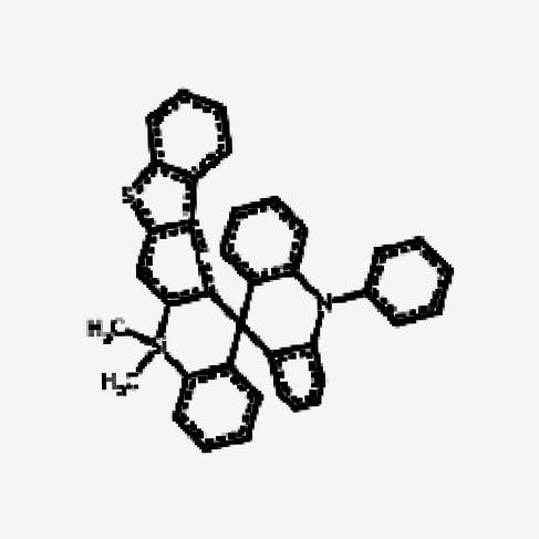 C[Si]1(C)c2ccccc2C2(c3ccccc3N(c3ccccc3)c3ccccc32)c2cc3c(cc21)sc1ccccc13